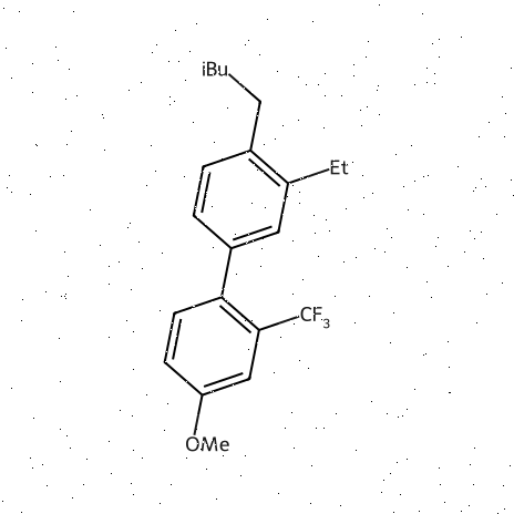 CCc1cc(-c2ccc(OC)cc2C(F)(F)F)ccc1CC(C)CC